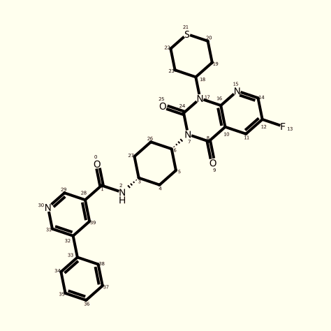 O=C(N[C@H]1CC[C@@H](n2c(=O)c3cc(F)cnc3n(C3CCSCC3)c2=O)CC1)c1cncc(-c2ccccc2)c1